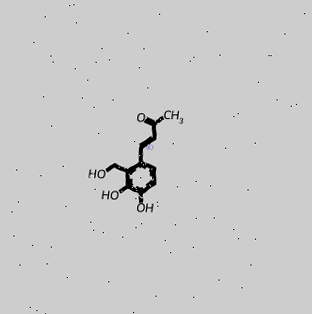 CC(=O)/C=C/c1ccc(O)c(O)c1CO